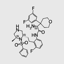 C[C@H]1CNC[C@H](CCc2c(F)cccc2NC(=O)[C@@H](N)C2(c3cc(F)cc(F)c3)CCOCC2)N1S(=O)(=O)c1ccccc1